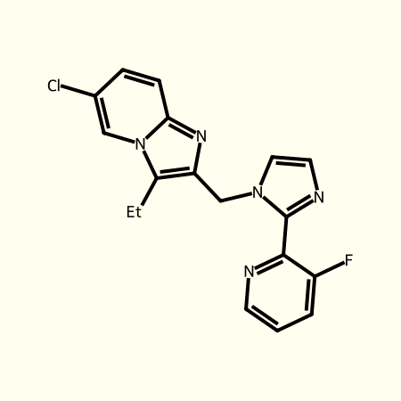 CCc1c(Cn2ccnc2-c2ncccc2F)nc2ccc(Cl)cn12